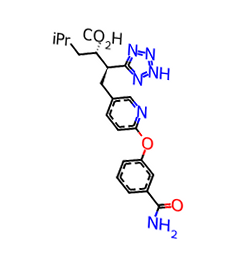 CC(C)C[C@H](C(=O)O)[C@H](Cc1ccc(Oc2cccc(C(N)=O)c2)nc1)c1nn[nH]n1